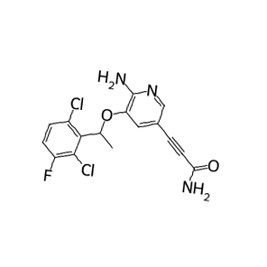 CC(Oc1cc(C#CC(N)=O)cnc1N)c1c(Cl)ccc(F)c1Cl